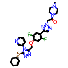 CN1CCN(C(=O)Cn2ncc(-c3cc(F)c(OCc4nnc(S[C@H]5C=CCCC5)n4-c4cccnc4)cc3F)n2)CC1